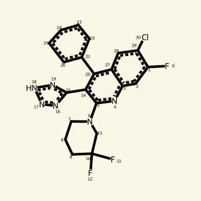 Fc1cc2nc(N3CCCC(F)(F)C3)c(-c3nn[nH]n3)c(-c3ccccc3)c2cc1Cl